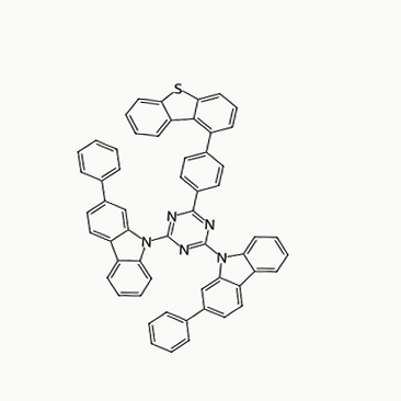 c1ccc(-c2ccc3c4ccccc4n(-c4nc(-c5ccc(-c6cccc7sc8ccccc8c67)cc5)nc(-n5c6ccccc6c6ccc(-c7ccccc7)cc65)n4)c3c2)cc1